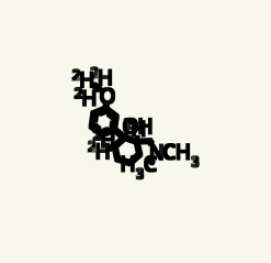 [2H]C([2H])([2H])Oc1cccc([C@]2(O)C([2H])([2H])CCC[C@@]2([2H])CN(C)C)c1